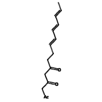 CC=CC=CC=CCCC(=O)CC(=O)CC(C)=O